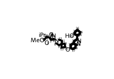 COC(=O)C(c1cc(N2CCC3(CC2)CC(Oc2ccc4nnc(-c5ccccc5O)cc4c2)C3)no1)C(C)C